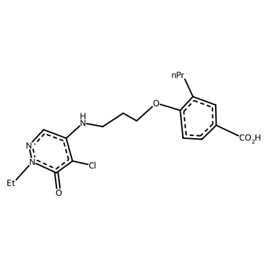 CCCc1cc(C(=O)O)ccc1OCCCNc1cnn(CC)c(=O)c1Cl